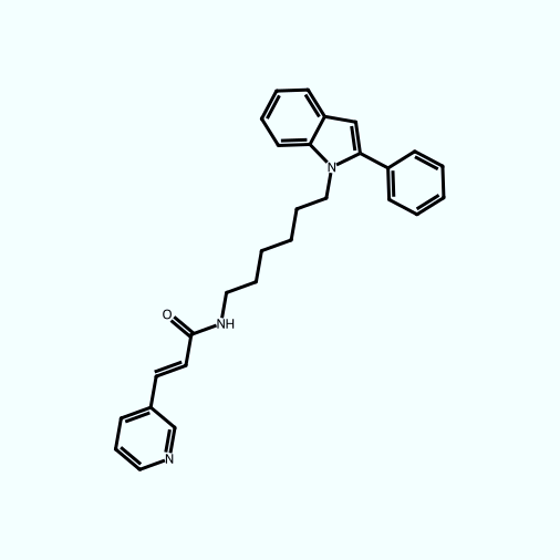 O=C(/C=C/c1cccnc1)NCCCCCCn1c(-c2ccccc2)cc2ccccc21